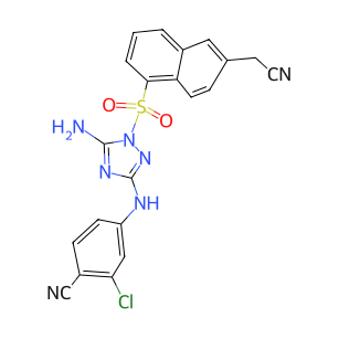 N#CCc1ccc2c(S(=O)(=O)n3nc(Nc4ccc(C#N)c(Cl)c4)nc3N)cccc2c1